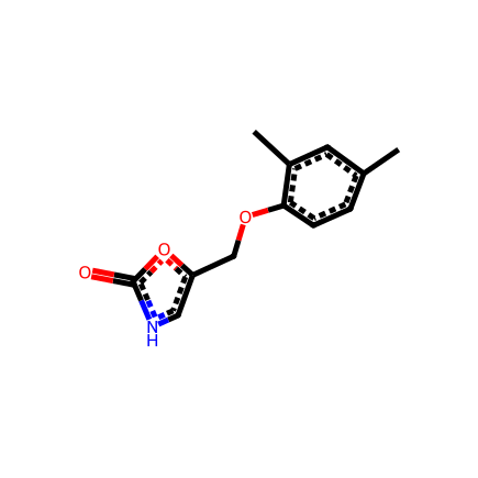 Cc1ccc(OCc2c[nH]c(=O)o2)c(C)c1